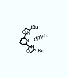 CC(C)(C)C1COC(c2cccc(C3=NC(C(C)(C)C)CO3)n2)=N1.[Cl-].[Cl-].[V+2]